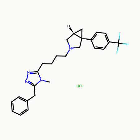 Cl.Cn1c(CCCCN2C[C@@H]3C[C@]3(c3ccc(C(F)(F)F)cc3)C2)nnc1Cc1ccccc1